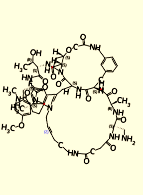 CNC(=O)[C@]1(C)CCCN1C(=O)[C@H](Cc1ccc(OC)cc1)NC(=O)[C@@H](NC(=O)[C@@H]1[C@@H]2CCN1C(=O)[C@@H]1Cc3cn(c4ccc(F)cc34)C/C=C\CCCNC(=O)CCC(=O)N[C@@H](CN)C(=O)N[C@H](C)C(=O)N[C@@H](Cc3cccc(c3)CNC(=O)CO2)C(=O)N1)[C@@H](C)O